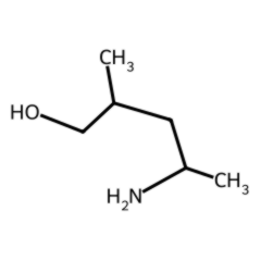 CC(N)CC(C)CO